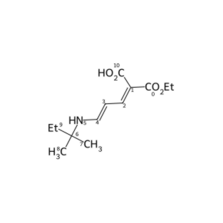 CCOC(=O)C(=CC=CNC(C)(C)CC)C(=O)O